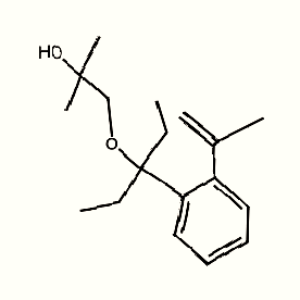 C=C(C)c1ccccc1C(CC)(CC)OCC(C)(C)O